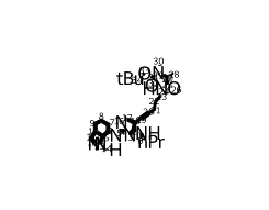 CCCNc1nc(Nc2cccc3cnn(C)c23)ncc1C#CCCCNC(=O)[C@H](C)N(C)C(=O)OC(C)(C)C